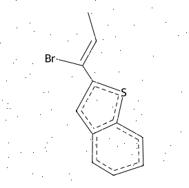 CC=C(Br)c1cc2ccccc2s1